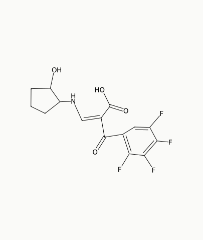 O=C(O)/C(=C\NC1CCCC1O)C(=O)c1cc(F)c(F)c(F)c1F